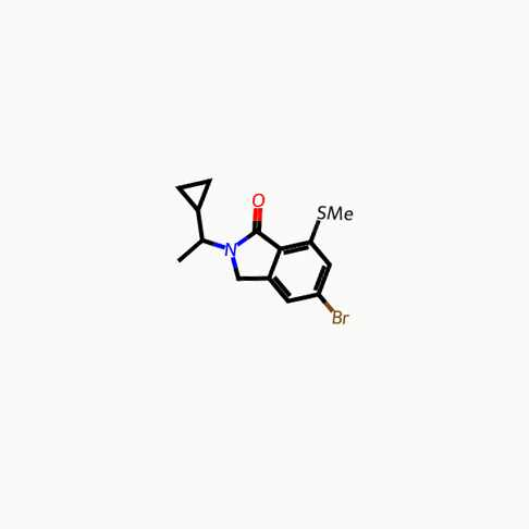 CSc1cc(Br)cc2c1C(=O)N(C(C)C1CC1)C2